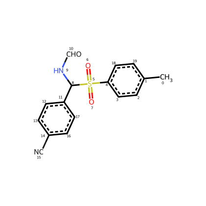 Cc1ccc(S(=O)(=O)C(NC=O)c2ccc(C#N)cc2)cc1